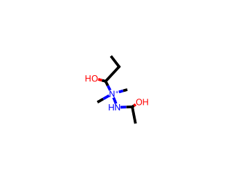 CCC(O)[N+](C)(C)NC(C)O